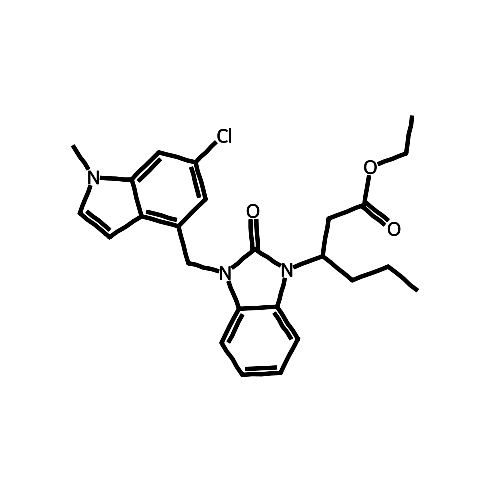 CCCC(CC(=O)OCC)n1c(=O)n(Cc2cc(Cl)cc3c2ccn3C)c2ccccc21